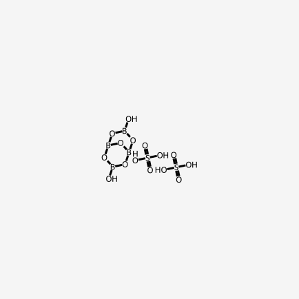 O=S(=O)(O)O.O=S(=O)(O)O.OB1OB2OB(O)OB(O1)O2